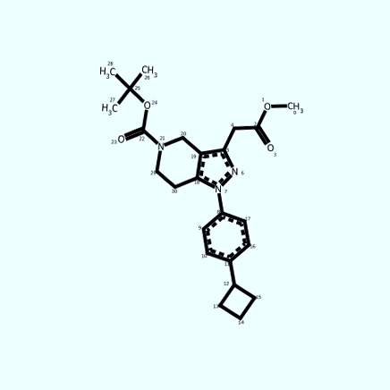 COC(=O)Cc1nn(-c2ccc(C3CCC3)cc2)c2c1CN(C(=O)OC(C)(C)C)CC2